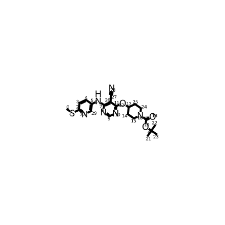 CSc1ccc(Nc2ncnc(OC3CCN(C(=O)OC(C)(C)C)CC3)c2C#N)cn1